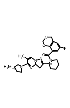 CC1=CN2N=C([C@@H]3CCCCN3C(=O)c3cc(F)cc4c3OCOC4)CC2N=C1N1CC[C@H](N)C1